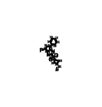 O=S(=O)(c1nc2n(n1)[C@H](c1ccccc1)C[C@@H]2F)[C@H]1C[C@@H](CF)C1